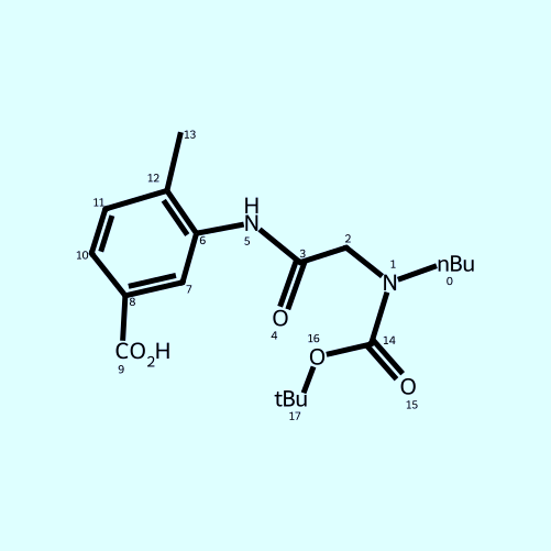 CCCCN(CC(=O)Nc1cc(C(=O)O)ccc1C)C(=O)OC(C)(C)C